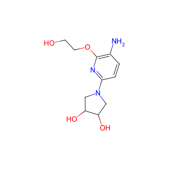 Nc1ccc(N2CC(O)C(O)C2)nc1OCCO